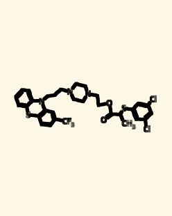 CC(Sc1cc(Cl)cc(Cl)c1)C(=O)OCCN1CCN(CCCN2c3ccccc3Sc3ccc(C(F)(F)F)cc32)CC1